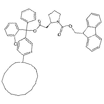 O=C(C[C@H]1CCCN1C(=O)OCC1c2ccccc2-c2ccccc21)OC(c1ccccc1)(c1ccc(C2CCCCCCCCCCCCC2)cc1)c1ccccc1Cl